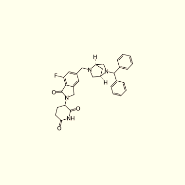 O=C1CCC(N2Cc3cc(CN4C[C@H]5C[C@@H]4CN5C(c4ccccc4)c4ccccc4)cc(F)c3C2=O)C(=O)N1